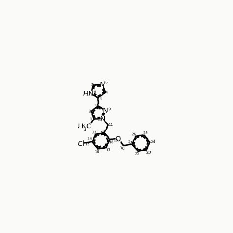 Cc1cc(-c2cnc[nH]2)nn1Cc1cc(Cl)ccc1OCc1ccccc1